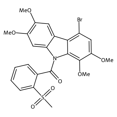 COc1cc2c3c(Br)cc(OC)c(OC)c3n(C(=O)c3ccccc3S(C)(=O)=O)c2cc1OC